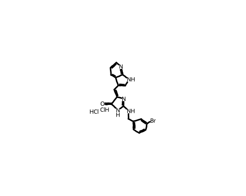 Cl.Cl.O=C1NC(NCc2cccc(Br)c2)=NC1=Cc1c[nH]c2ncccc12